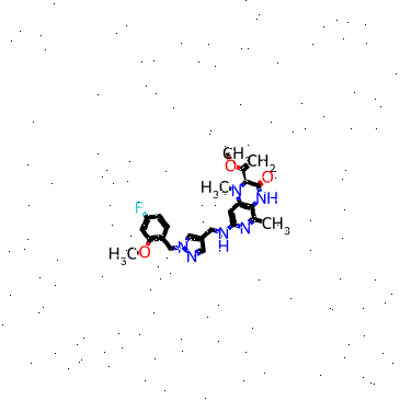 C=C(OC)[C@H]1C(=O)Nc2c(cc(NCc3cnn(Cc4ccc(F)cc4OC)c3)nc2C)N1C